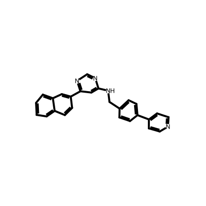 c1ccc2cc(-c3cc(NCc4ccc(-c5ccncc5)cc4)ncn3)ccc2c1